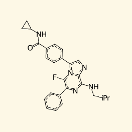 CC(C)CNc1nc(-c2ccccc2)c(F)n2c(-c3ccc(C(=O)NC4CC4)cc3)cnc12